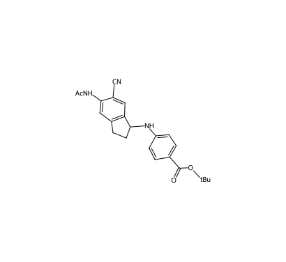 CC(=O)Nc1cc2c(cc1C#N)C(Nc1ccc(C(=O)OC(C)(C)C)cc1)CC2